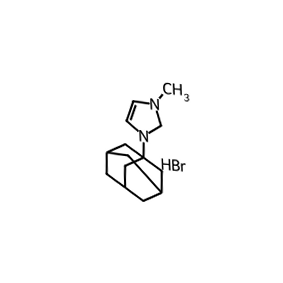 Br.CN1C=CN(C23CC4CC(CC(C4)C2)C3)C1